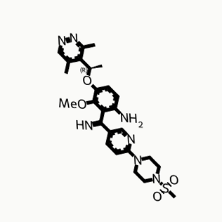 COc1c(O[C@H](C)c2c(C)cnnc2C)ccc(N)c1C(=N)c1ccc(N2CCN(S(C)(=O)=O)CC2)nc1